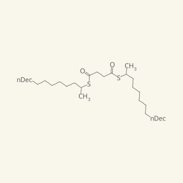 CCCCCCCCCCCCCCCCC(C)SC(=O)CCC(=O)SC(C)CCCCCCCCCCCCCCCC